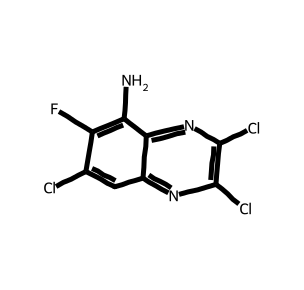 Nc1c(F)c(Cl)cc2nc(Cl)c(Cl)nc12